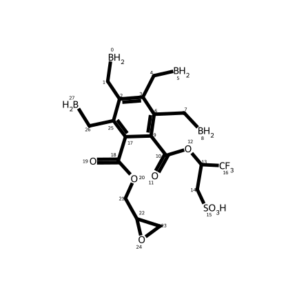 BCc1c(CB)c(CB)c(C(=O)OC(CS(=O)(=O)O)C(F)(F)F)c(C(=O)OCC2CO2)c1CB